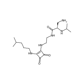 CC(C)CCCNc1c(NCCNC(=O)[C@@H](CN)NC(C)C)c(=O)c1=O